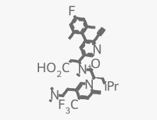 C#Cc1ncc(C(CC(=O)O)[N+](=C)C(=O)[C@@H](CC(C)C)N2C=C(CCN(C)C)C(C(F)(F)F)=CC2=C)cc1-c1c(C)cc(F)cc1C